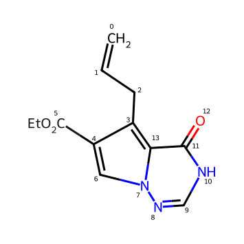 C=CCc1c(C(=O)OCC)cn2nc[nH]c(=O)c12